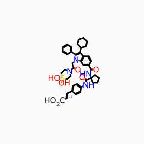 O=C(O)/C=C/c1ccc(NC(=O)C2(NC(=O)c3ccc4c(C5CCCCC5)c(-c5ccccc5)n(CC(=O)N5CCS(O)(O)CC5)c4c3)CCCC2)cc1